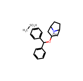 CN1C2CCC1CC(OC(c1ccccc1)c1ccccc1)C2.CS(=O)(=O)O